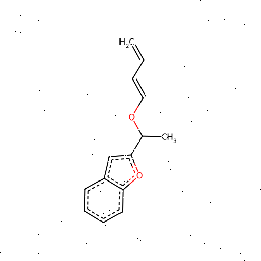 C=CC=COC(C)c1cc2ccccc2o1